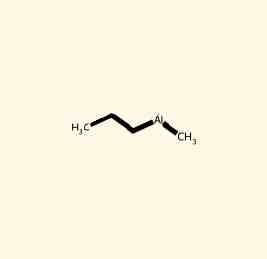 CC[CH2][Al][CH3]